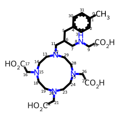 Cc1ccc(CC(CNCC(=O)O)CN2CCN(CC(=O)O)CCN(CC(=O)O)CCN(CC(=O)O)CC2)cc1